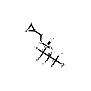 O=S(=O)(OCC1CO1)C(F)(F)C(F)(F)C(F)(F)C(F)(F)F